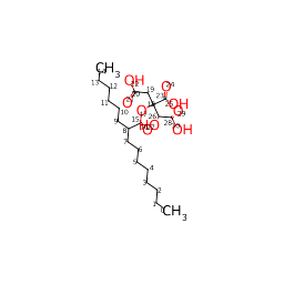 CCCCCCCCC(CCCCCC)C(=O)OC(CC(=O)O)(C(=O)O)C(O)C(=O)O